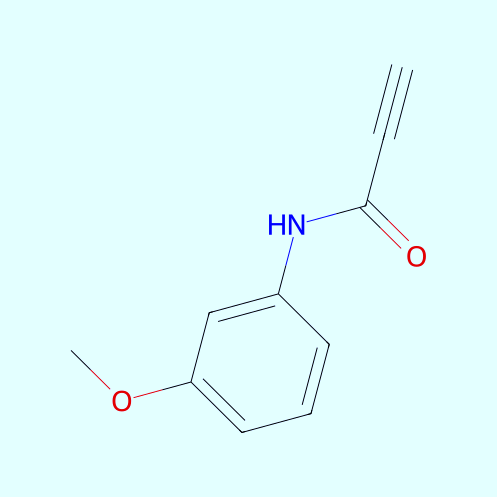 C#CC(=O)Nc1cccc(OC)c1